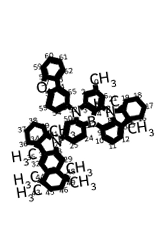 Cc1cc2c3c(c1)N1c4c(cccc4C4(C)CCCCC14C)B3c1ccc(N3c4cc5c(cc4C4(C)CCCCC34C)C(C)(C)CCC5(C)C)cc1N2c1ccc2oc3ccccc3c2c1